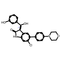 O=C1Nc2cc(Cl)c(-c3ccc(N4CCOCC4)cc3)cc2/C1=C(\O)c1cccc(O)c1